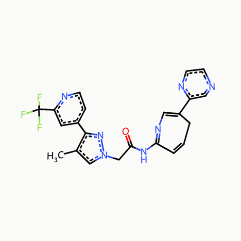 Cc1cn(CC(=O)NC2=NC=C(c3cnccn3)CC=C2)nc1-c1ccnc(C(F)(F)F)c1